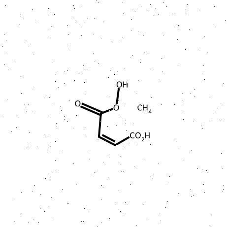 C.O=C(O)/C=C\C(=O)OO